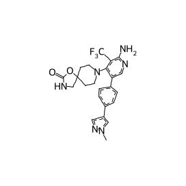 Cn1cc(-c2ccc(-c3cnc(N)c(C(F)(F)F)c3N3CCC4(CC3)CNC(=O)O4)cc2)cn1